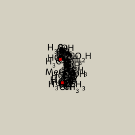 CO[C@H](C(=O)[C@@H](O)[C@@H](C)O)[C@@H]1Cc2cc3cc(O[C@H]4C[C@@H](O[C@H]5C[C@@H](OC(=O)CCC(=O)O)[C@H](O)C(C)O5)[C@H](O)C(C)O4)c(C)c(O)c3c(O)c2C(=O)[C@H]1O[C@H]1C[C@@H](O[C@H]2C[C@@H](O[C@H]3C[C@](C)(O)[C@H](O)C(C)O3)[C@@H](O)C(C)O2)[C@H](O)C(C)O1